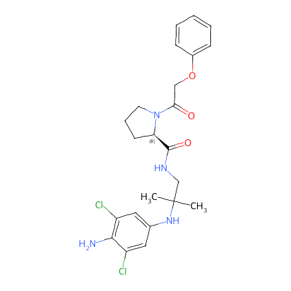 CC(C)(CNC(=O)[C@H]1CCCN1C(=O)COc1ccccc1)Nc1cc(Cl)c(N)c(Cl)c1